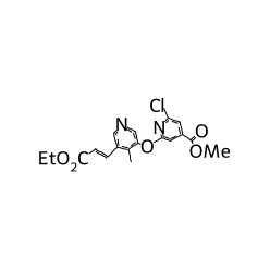 CCOC(=O)/C=C/c1cncc(Oc2cc(C(=O)OC)cc(Cl)n2)c1C